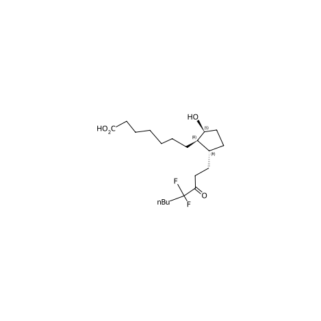 CCCCC(F)(F)C(=O)CC[C@H]1CC[C@H](O)[C@@H]1CCCCCCC(=O)O